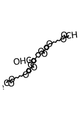 C=CC(=O)OCCCCCCOc1ccc(C(=O)Oc2ccc(C3CCC(OC(=O)c4ccc(OCCCCCCOC(=O)C=C)cc4)CC3)cc2C=O)cc1